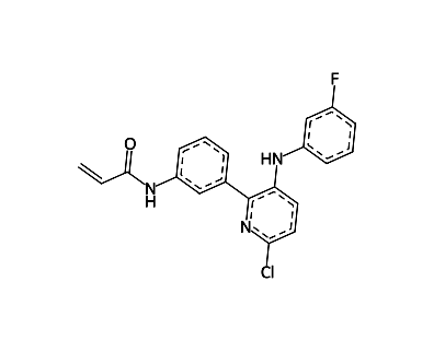 C=CC(=O)Nc1cccc(-c2nc(Cl)ccc2Nc2cccc(F)c2)c1